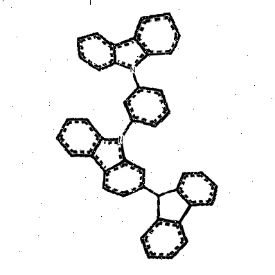 c1cc(-n2c3ccccc3c3ccccc32)cc(-n2c3ccccc3c3ccc(C4c5ccccc5-c5ccccc54)cc32)c1